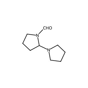 O=CN1CCCC1N1CCCC1